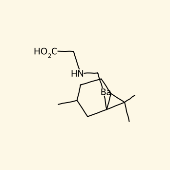 CC1CCC2C(C)(C)[C]2([Ba][CH2]NCC(=O)O)C1